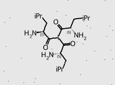 CC(C)C[C@H](N)C(=O)I(C(=O)[C@@H](N)CC(C)C)C(=O)[C@@H](N)CC(C)C